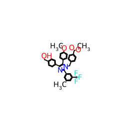 COC(=O)c1ccc(Cn2c(-c3cc(C)cc(C(F)(F)F)c3)nc(-c3ccc(CO)cc3)c2-c2ccc(OC)cc2)cc1